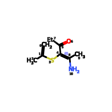 C=C(C)S/C(C(=O)CC)=C(/C)N